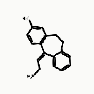 BC/C=C1\c2ccccc2CCc2cc(C)ccc21